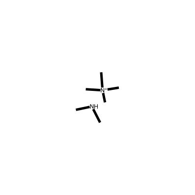 CNC.C[N+](C)(C)C